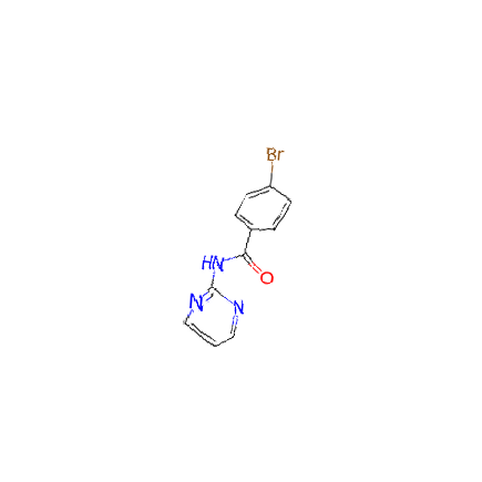 O=C(Nc1ncccn1)c1ccc(Br)cc1